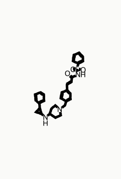 O=C(/C=C/c1ccc(CN2CCC(NC3CC3c3ccccc3)CC2)cc1)NS(=O)(=O)c1ccccc1